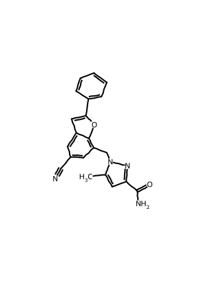 Cc1cc(C(N)=O)nn1Cc1cc(C#N)cc2cc(-c3ccccc3)oc12